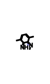 C/N=C1\C(=N)C(C)=CC=C1C